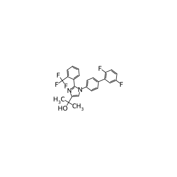 CC(C)(O)c1cn(-c2ccc(-c3cc(F)ccc3F)cc2)c(-c2ccccc2C(F)(F)F)n1